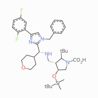 CC(C)(C)C1[C@@H](CN[C@@H](c2nc(-c3cc(F)ccc3F)cn2Cc2ccccc2)C2CCOCC2)[C@H](O[Si](C)(C)C(C)(C)C)CN1C(=O)O